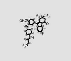 CC1(C)CC(=O)n2c(c(-c3ccc(C=O)c(N[C@H]4CC[C@H](NC(=O)CN)CC4)c3)c3ccc(F)cc32)C1